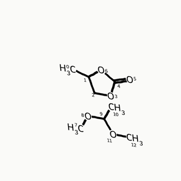 CC1COC(=O)O1.COC(C)OC